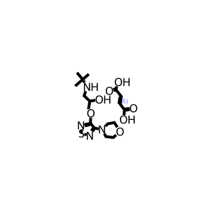 CC(C)(C)NCC(O)COc1nsnc1N1CCOCC1.O=C(O)/C=C/C(=O)O